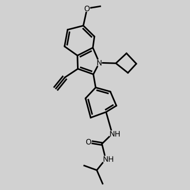 C#Cc1c(-c2ccc(NC(=O)NC(C)C)cc2)n(C2CCC2)c2cc(OC)ccc12